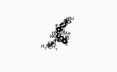 COc1c(Nc2nc(Cc3c(Cl)cccc3Cl)c3ncn(COCC[Si](C)(C)C)c3c2C#N)cc(F)c(N2CCN(C(=O)OC(C)(C)C)CC2)c1F